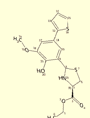 CCOC(=O)[C@@H]1CSC(c2cc(-c3cccs3)cc(OC)c2O)N1